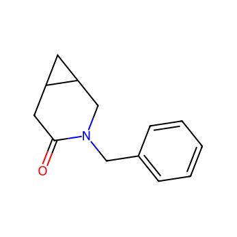 O=C1CC2CC2CN1Cc1ccccc1